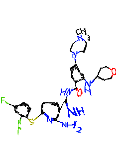 CN1CCN(c2ccc(C(=O)NC(=N)c3ccc(Sc4ccc(F)cc4F)nc3N)c(NC3CCOCC3)c2)CC1